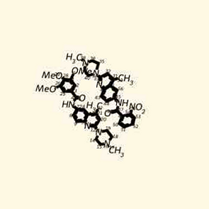 COc1cc(C(=O)Nc2ccc3nc(N4CCN(C)CC4)cc(C)c3c2)cc(OC)c1OC.Cc1cc(N2CCN(C)CC2)nc2ccc(NC(=O)c3ccccc3[N+](=O)[O-])cc12